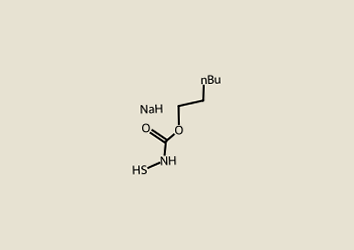 CCCCCCOC(=O)NS.[NaH]